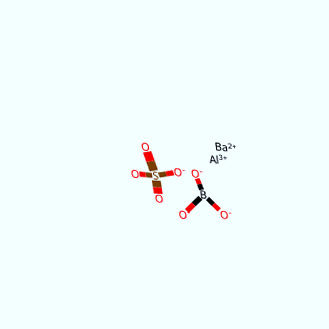 O=S(=O)([O-])[O-].[Al+3].[Ba+2].[O-]B([O-])[O-]